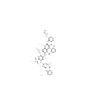 C#Cc1cccc(C)c1Nc1nc(O)nc(Nc2cc(Nc3ccc4c5c3C(=O)c3ccccc3-c5c(C(=O)c3cccc(SOOO)c3)c(=O)n4C)c(SOOO)cc2S(=O)(=O)O)n1